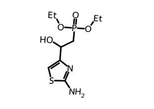 CCOP(=O)(CC(O)c1csc(N)n1)OCC